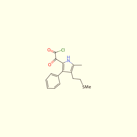 CSCCc1c(C)[nH]c(C(=O)C(=O)Cl)c1-c1ccccc1